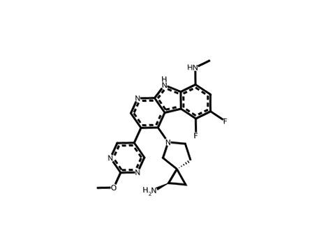 CNc1cc(F)c(F)c2c1[nH]c1ncc(-c3cnc(OC)nc3)c(N3CC[C@@]4(C[C@H]4N)C3)c12